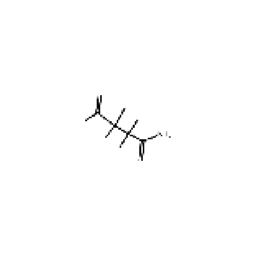 C=C(C)C(C)(C)C(C)(C)C(=C)N